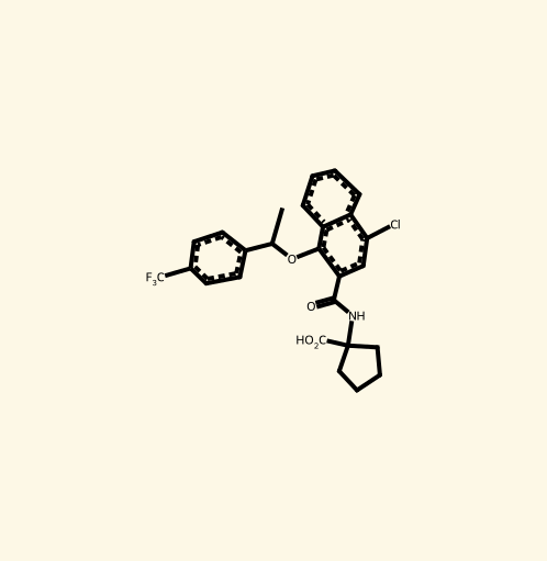 CC(Oc1c(C(=O)NC2(C(=O)O)CCCC2)cc(Cl)c2ccccc12)c1ccc(C(F)(F)F)cc1